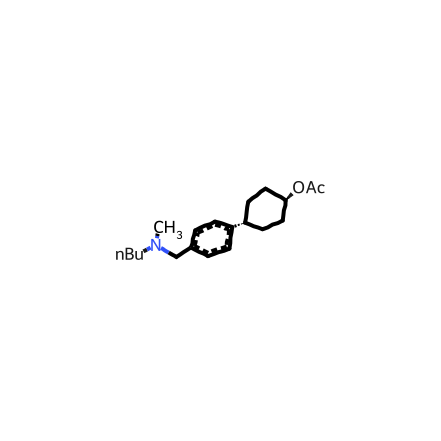 CCCCN(C)Cc1ccc([C@H]2CC[C@H](OC(C)=O)CC2)cc1